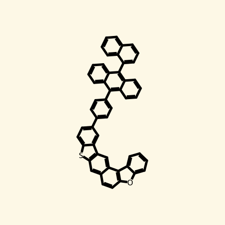 c1ccc2c(-c3c4ccccc4c(-c4ccc(-c5ccc6sc7cc8ccc9oc%10ccccc%10c9c8cc7c6c5)cc4)c4ccccc34)cccc2c1